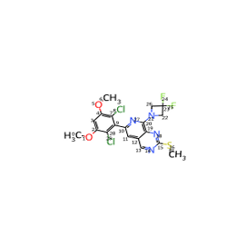 COc1cc(OC)c(Cl)c(-c2cc3cnc(SC)nc3c(N3CC(F)(F)C3)n2)c1Cl